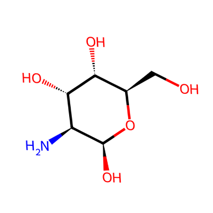 N[C@H]1[C@H](O)[C@H](O)[C@@H](CO)O[C@H]1O